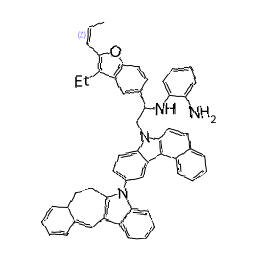 C/C=C\c1oc2ccc(C(Cn3c4ccc(-n5c6c(c7ccccc75)C=C5C=CC=CC5CC6)cc4c4c5ccccc5ccc43)Nc3ccccc3N)cc2c1CC